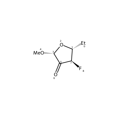 CC[C@H]1O[C@@H](OC)C(=O)[C@@H]1F